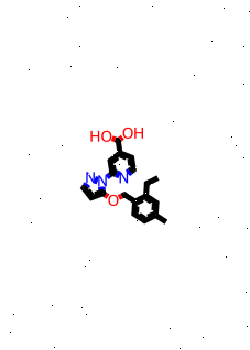 CCc1cc(C)ccc1COc1ccnn1-c1cc(C(O)O)ccn1